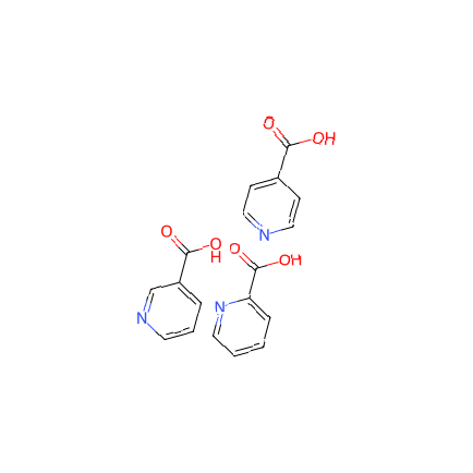 O=C(O)c1ccccn1.O=C(O)c1cccnc1.O=C(O)c1ccncc1